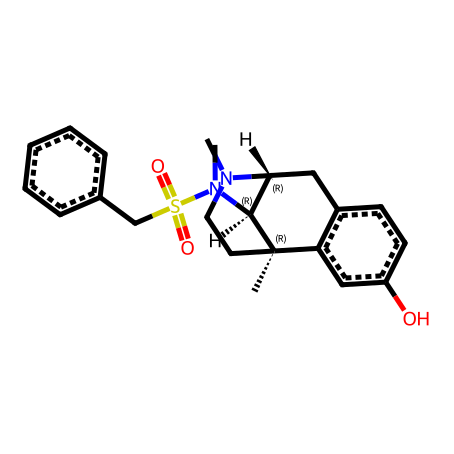 CN1CC[C@]2(C)c3cc(O)ccc3C[C@@H]1[C@@H]2N(C)S(=O)(=O)Cc1ccccc1